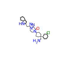 NC[C@]1(c2cccc(Cl)c2)CC[C@H](N2CCn3c(Cc4cc5ccccc5[nH]4)nnc3C2=O)CC1